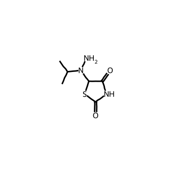 CC(C)N(N)C1SC(=O)NC1=O